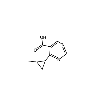 CC1CC1c1ncncc1C(=O)O